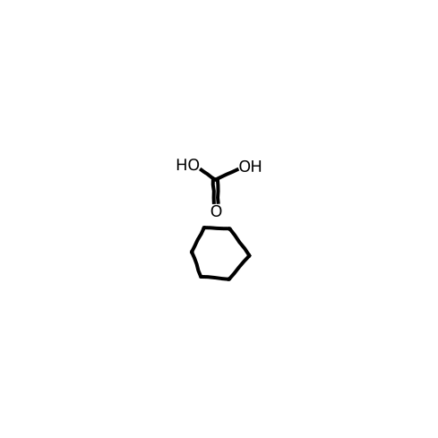 C1CCCCC1.O=C(O)O